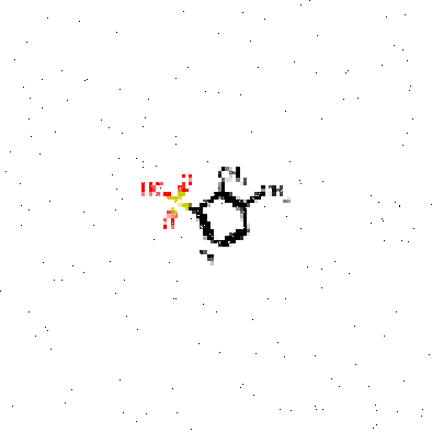 Cc1cccc(S(=O)(=O)O)c1C.[Fe]